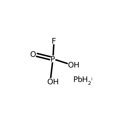 O=P(O)(O)F.[PbH2]